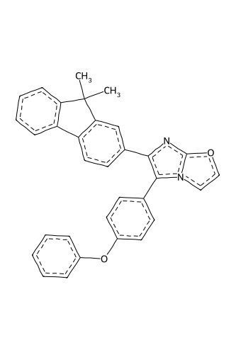 CC1(C)c2ccccc2-c2ccc(-c3nc4occn4c3-c3ccc(Oc4ccccc4)cc3)cc21